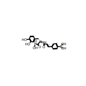 O=C(/C=C/c1ccc(B(O)O)cc1)N[C@@H](Cc1ccc(O)c(O)c1)C(=O)NO